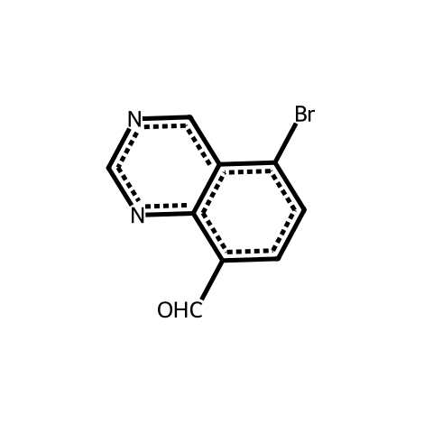 O=Cc1ccc(Br)c2cncnc12